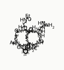 CCC(=O)NCCCC[C@@H]1NC(=O)CSC[C@@H](C(C)=O)NC(=O)[C@H](Cc2ccccc2)NC(=O)[C@@H]2CSSC[C@H](NC1=O)C(=O)N[C@@H](CCCNC(=N)N)C(=O)NCC(=O)N[C@@H](CC(=O)O)C(=O)N2